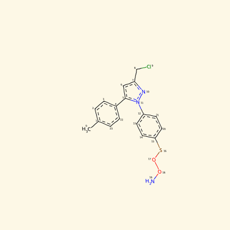 Cc1ccc(-c2cc(CCl)nn2-c2ccc(SOON)cc2)cc1